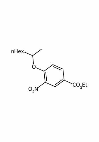 CCCCCCC(C)Oc1ccc(C(=O)OCC)cc1[N+](=O)[O-]